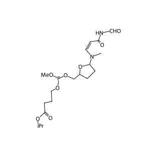 COP(OCCCC(=O)OC(C)C)OCC1CCC(N(C)/C=C\C(=O)NC=O)O1